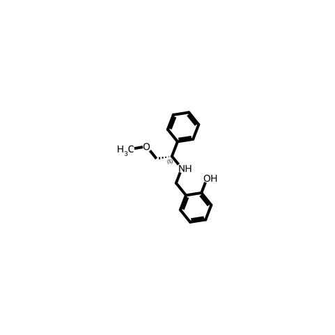 COC[C@@H](NCc1ccccc1O)c1ccccc1